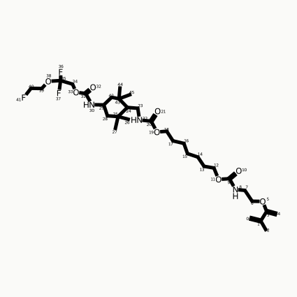 C=C(C)C(=C)OCCNC(=O)OCCCCCCCOC(=O)NCC1C(C)(C)CC(NC(=O)OCC(F)(F)OCCF)CC1(C)C